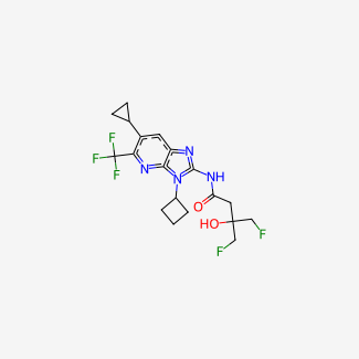 O=C(CC(O)(CF)CF)Nc1nc2cc(C3CC3)c(C(F)(F)F)nc2n1C1CCC1